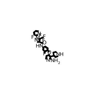 Nc1nccc(Oc2ccc(NC(=O)c3cnn(-c4ncccc4F)c3C(F)(F)F)cc2F)c1C1=CCNCC1